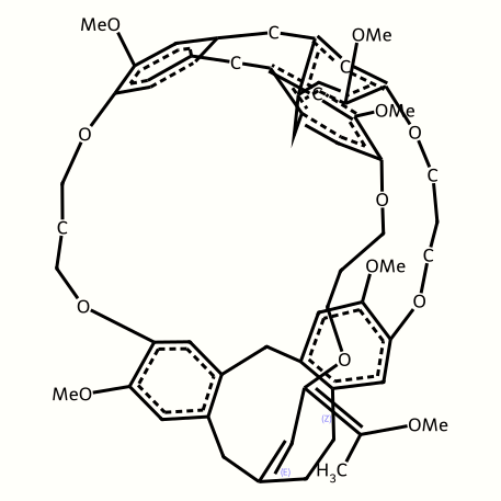 CO/C(C)=C1/C=C2\CCc3cc4c(OC)cc3Cc3cc(c(OC)cc3C2)OCCCOc2cc3c(cc2OC)Cc2cc(c(OC)cc2Cc2cc(c(OC)cc2C3)OCCCO1)OCCCO4